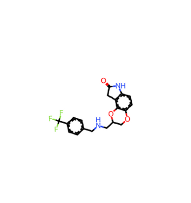 O=C1Cc2c(ccc3c2OC(CNCc2ccc(C(F)(F)F)cc2)CO3)N1